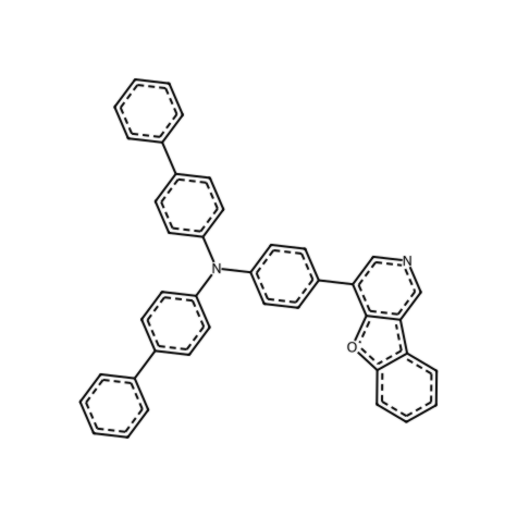 c1ccc(-c2ccc(N(c3ccc(-c4ccccc4)cc3)c3ccc(-c4cncc5c4oc4ccccc45)cc3)cc2)cc1